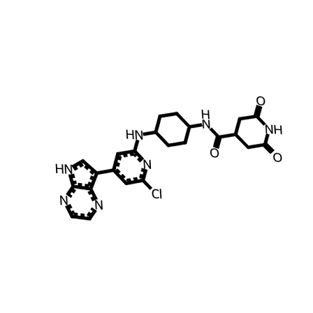 O=C1CC(C(=O)NC2CCC(Nc3cc(-c4c[nH]c5nccnc45)cc(Cl)n3)CC2)CC(=O)N1